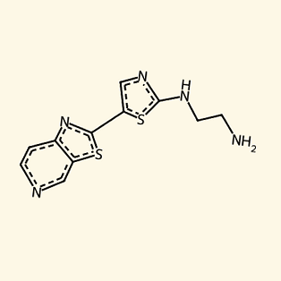 NCCNc1ncc(-c2nc3ccncc3s2)s1